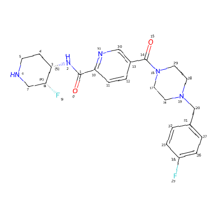 O=C(N[C@H]1CCNC[C@H]1F)c1ccc(C(=O)N2CCN(Cc3ccc(F)cc3)CC2)cn1